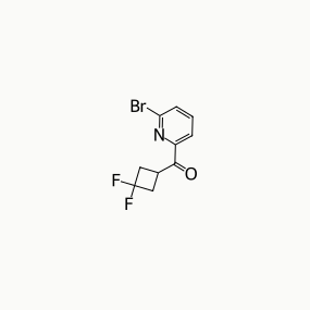 O=C(c1cccc(Br)n1)C1CC(F)(F)C1